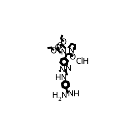 CCOC(=O)CN(CC(=O)OCC)C(C(=O)N1CCCC1)c1ccc2c(c1)nc(CNc1ccc(C(=N)N)cc1)n2C.Cl